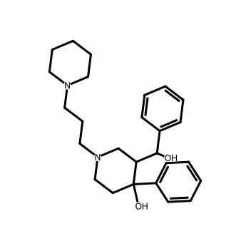 OC(c1ccccc1)C1CN(CCCN2CCCCC2)CCC1(O)c1ccccc1